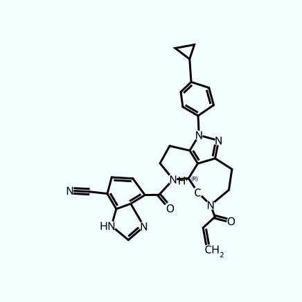 C=CC(=O)N1CCc2nn(-c3ccc(C4CC4)cc3)c3c2[C@H](C1)N(C(=O)c1ccc(C#N)c2[nH]cnc12)CC3